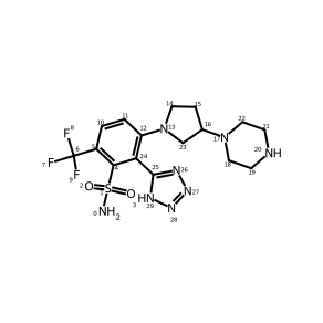 NS(=O)(=O)c1c(C(F)(F)F)ccc(N2CCC(N3CCNCC3)C2)c1-c1nnn[nH]1